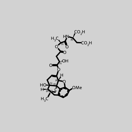 COc1ccc2c3c1O[C@H]1C(OC(=O)[C@@H](O)CC(=O)O[C@@H](C)C(=O)N[C@H](CC(=O)O)C(=O)O)=CC[C@@]4(O)[C@@H](C2)N(C)CC[C@]314